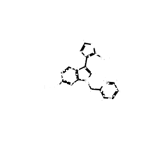 O=C(O)c1ccc2c(-c3ccsc3[N+](=O)[O-])cn(Cc3ccccn3)c2c1